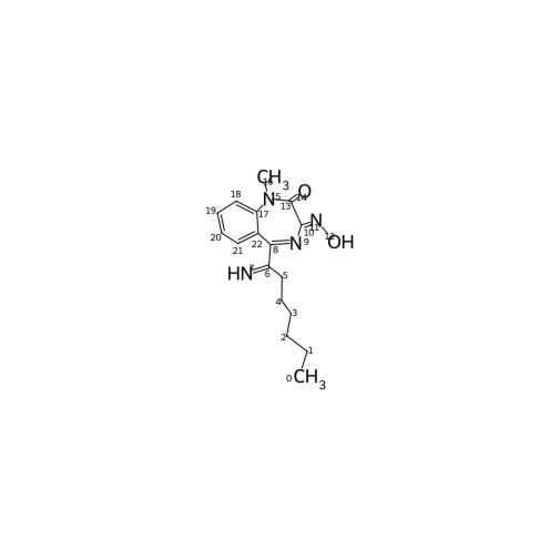 CCCCCCC(=N)c1nc(=NO)c(=O)n(C)c2ccccc12